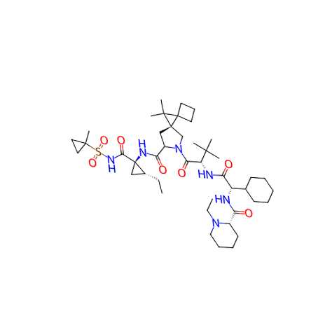 CC[C@@H]1C[C@]1(NC(=O)C1C[C@@]2(CN1C(=O)[C@@H](NC(=O)[C@@H](NC(=O)[C@@H]1CCCCN1CC)C1CCCCC1)C(C)(C)C)C(C)(C)C21CCC1)C(=O)NS(=O)(=O)C1(C)CC1